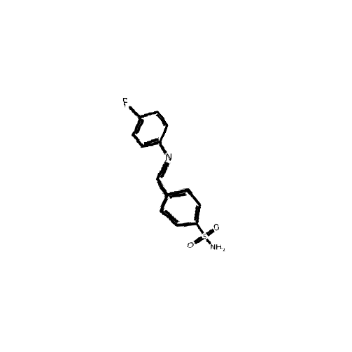 NS(=O)(=O)c1ccc(C=Nc2ccc(F)cc2)cc1